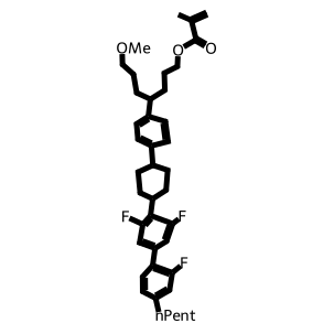 C=C(C)C(=O)OCCCC(CCCOC)c1ccc(C2CCC(c3c(F)cc(-c4ccc(CCCCC)cc4F)cc3F)CC2)cc1